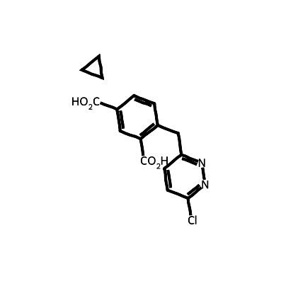 C1CC1.O=C(O)c1ccc(Cc2ccc(Cl)nn2)c(C(=O)O)c1